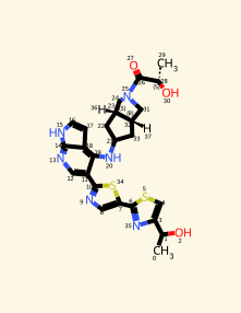 CC(O)c1csc(-c2cnc(-c3cnc4[nH]ccc4c3NC3C[C@@H]4CN(C(=O)[C@H](C)O)C[C@@H]4C3)s2)n1